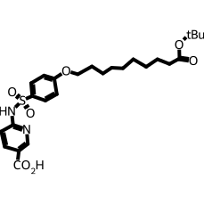 CC(C)(C)OC(=O)CCCCCCCCCOc1ccc(S(=O)(=O)Nc2ccc(C(=O)O)cn2)cc1